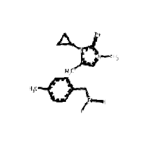 Cc1ccc(CN(I)I)cc1.Cc1cn(C)[c](=[Pt])n1C1CC1